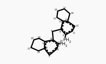 Pc1ccc2c(c1Cc1c(P)ccc3c1CCCC3)CCCC2